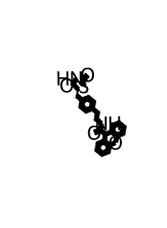 O=C1NC(=O)[C@H](Cc2ccc(CCNC(=O)C3c4ccccc4Oc4ccccc43)cc2)S1